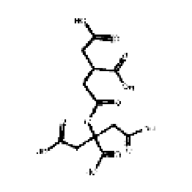 O=C(O)CC(CC(=O)OC(CC(=O)O)(CC(=O)O)C(=O)O)C(=O)O